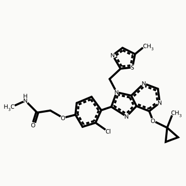 CNC(=O)COc1ccc(-c2nc3c(OC4(C)CC4)ncnc3n2Cc2ncc(C)s2)c(Cl)c1